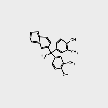 Cc1cc(C(C)(c2ccc(O)c(C)c2)c2ccc3ccccc3c2)ccc1O